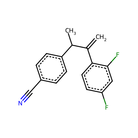 C=C(c1ccc(F)cc1F)C(C)c1ccc(C#N)cc1